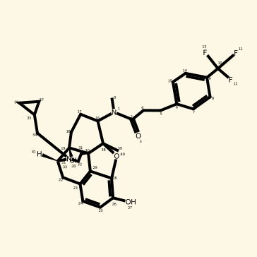 CN(C(=O)CCc1ccc(C(F)(F)F)cc1)C1CC[C@@]2(O)[C@H]3Cc4ccc(O)c5c4[C@@]2(CCN3CC2CC2)C1(C)O5